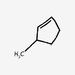 CC1[CH]CC=C1